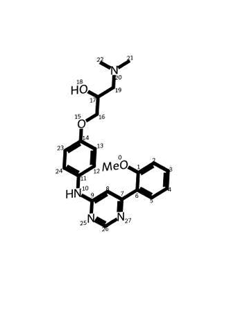 COc1ccccc1-c1cc(Nc2ccc(OCC(O)CN(C)C)cc2)ncn1